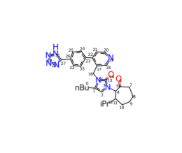 CCCCc1cn(C2C(=O)CCCCC2C(C)C)c(=O)n1Cc1cnccc1-c1ccc(-c2nnn[nH]2)cc1